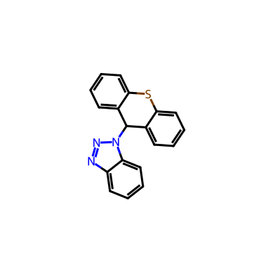 c1ccc2c(c1)Sc1ccccc1C2n1nnc2ccccc21